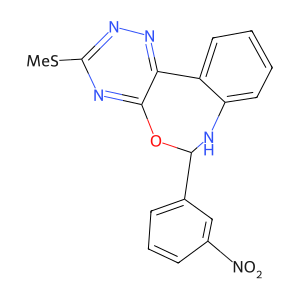 CSc1nnc2c(n1)OC(c1cccc([N+](=O)[O-])c1)Nc1ccccc1-2